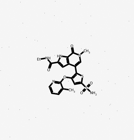 CCNC(=O)c1cc2c(-c3sc(S(N)(=O)=O)cc3Oc3ncccc3C)cn(C)c(=O)c2[nH]1